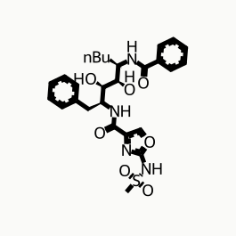 CCCC[C@@H](NC(=O)c1ccccc1)[C@@H](O)[C@H](O)[C@H](Cc1ccccc1)NC(=O)c1coc(NS(C)(=O)=O)n1